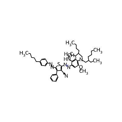 CCCCCc1ccc(N=Nc2sc(/N=N/c3cc(OC)c(N(CC(CC)CCCC)CC(CC)CCCC)cc3NC)c(C#N)c2-c2ccccc2)cc1